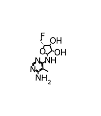 Cc1c(N)ncnc1N[C@@H]1O[C@H](CF)[C@@H](O)[C@H]1O